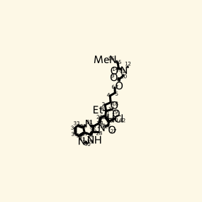 CC[C@@]1(CCCCCOC(=O)CN(C)C(=O)CNC)C(=O)OCc2c1cc1n(c2=O)Cc2c-1nc1cccc3c1c2NC=N3.Cl